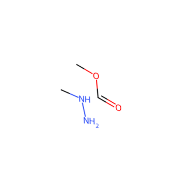 CNN.COC=O